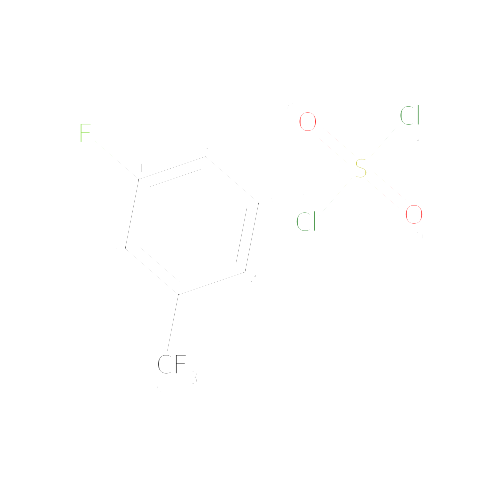 Fc1cccc(C(F)(F)F)c1.O=S(=O)(Cl)Cl